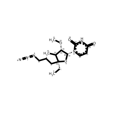 CC[C@@]1(CCCN=[N+]=[N-])O[C@@H](n2ccc(=O)[nH]c2=O)[C@@H](OC)C1C